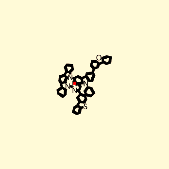 c1ccc(-n2c3ccc(-c4ccc5oc6ccccc6c5c4)cc3c3cc(-n4c5ccccc5c5ccc6c7ccccc7n(-c7nccc(-c8ccc9sc%10ccccc%10c9c8)n7)c6c54)ccc32)cc1